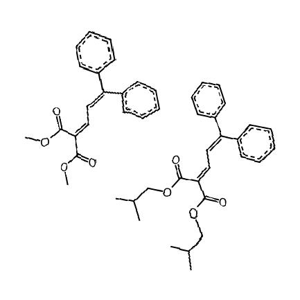 CC(C)COC(=O)C(=CC=C(c1ccccc1)c1ccccc1)C(=O)OCC(C)C.COC(=O)C(=CC=C(c1ccccc1)c1ccccc1)C(=O)OC